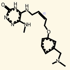 CNc1nnc(=O)[nH]c1NC/C=C\COc1cccc(CN(C)C)c1